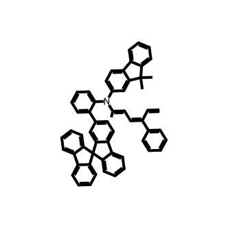 C=C/C(=C\C=C(/C)N(c1ccc2c(c1)C(C)(C)c1ccccc1-2)c1ccccc1-c1ccc2c(c1)C1(c3ccccc3-c3ccccc31)c1ccccc1-2)c1ccccc1